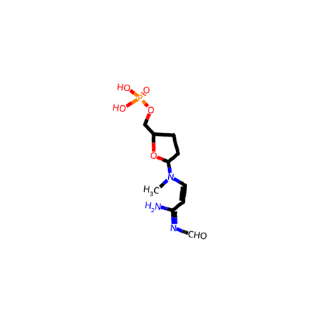 CN(/C=C\C(N)=N/C=O)C1CCC(COP(=O)(O)O)O1